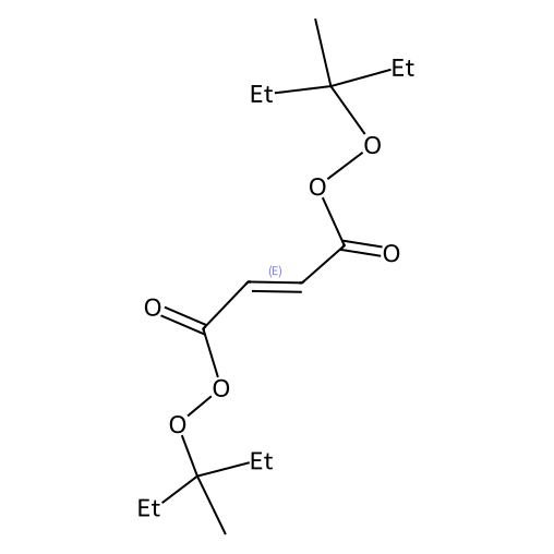 CCC(C)(CC)OOC(=O)/C=C/C(=O)OOC(C)(CC)CC